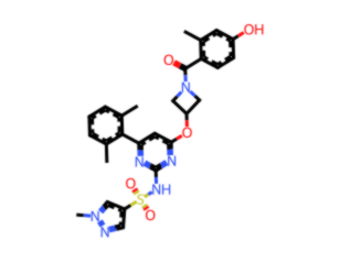 Cc1cc(O)ccc1C(=O)N1CC(Oc2cc(-c3c(C)cccc3C)nc(NS(=O)(=O)c3cnn(C)c3)n2)C1